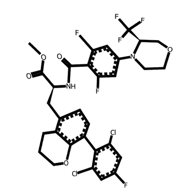 COC(=O)[C@H](Cc1ccc(-c2c(Cl)cc(F)cc2Cl)c2c1CCCO2)NC(=O)c1c(F)cc(N2CCOC[C@@H]2C(F)(F)F)cc1F